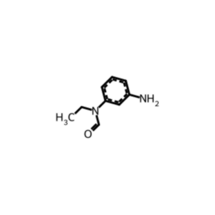 CCN(C=O)c1cccc(N)c1